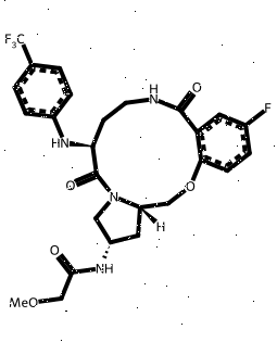 COCC(=O)N[C@H]1C[C@H]2COc3ccc(F)cc3C(=O)NCC[C@H](Nc3ccc(C(F)(F)F)cc3)C(=O)N2C1